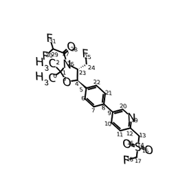 CC1(C)O[C@H](c2ccc(-c3ccc(CS(=O)(=O)CF)nc3)cc2)[C@@H](CF)N1C(=O)C(F)F